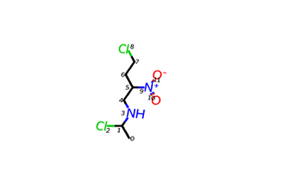 CC(Cl)NCC(CCCl)[N+](=O)[O-]